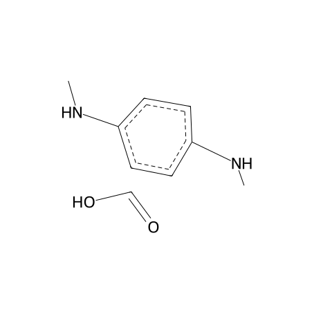 CNc1ccc(NC)cc1.O=CO